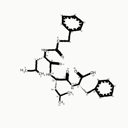 CC(C)C[C@H](NC(=O)OCc1ccccc1)C(=O)N[C@@H](CC(C)C)C(=O)N[C@@H](Cc1ccccc1)C(=O)O